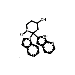 CCN1CCC(O)CC1(c1cc2cccnc2[nH]1)n1ccc2ccccc21